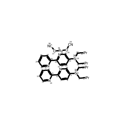 CC(C)C[SiH](CC(C)C)c1ccc(-c2ccccn2)nc1.CC(C)C[SiH](CC(C)C)c1ccc(-c2ccccn2)nc1.N#C[O][Ru][O]C#N